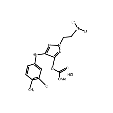 CCN(CC)CCn1nc(Nc2ccc(C)c(Cl)c2)c(OC(=O)OC)n1.Cl